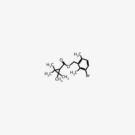 Cc1ccc(Br)c(C)c1COC(=O)C1C(C)(C)C1(C)C